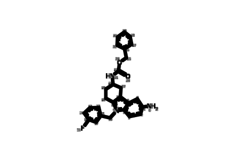 Nc1ccc2c(c1)c1c(n2Cc2cccc(F)c2)CCC(NC(=O)OCc2ccccc2)C1